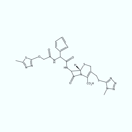 Cc1nnc(OCC(=O)NC(C(=O)NC2C(=O)N3C(C(=O)O)=C(CSc4nnnn4C)CS[C@@H]23)c2ccccc2)s1